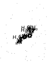 CC(c1ccc(N2CCC[C@@H](N(CC3CC3)C(=O)OC(C)(C)C)C2)nn1)n1cnc(I)c1